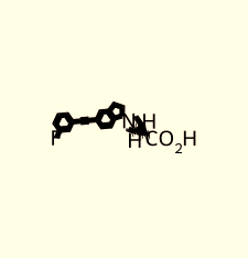 O=C(O)[C@H]1[C@@H]2CN(C3CCc4cc(C#Cc5cccc(F)c5)ccc43)C[C@@H]21